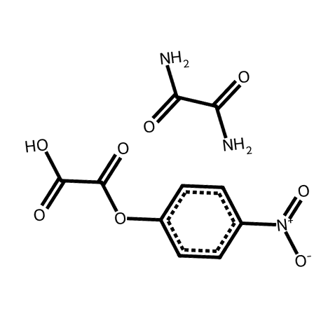 NC(=O)C(N)=O.O=C(O)C(=O)Oc1ccc([N+](=O)[O-])cc1